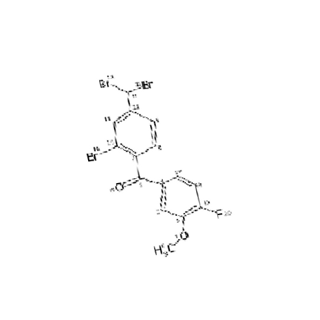 COc1cc(C(=O)c2ccc(C(Br)Br)cc2Br)ccc1F